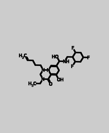 C=CCCCN1CN(CC)C(=O)C2=C(O)CC(C(O)NCC3C(F)CC(F)CC3F)=CN21